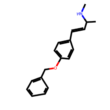 CNC(C)C=Cc1ccc(OCc2ccccc2)cc1